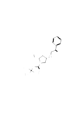 CC(C)(C)OC(=O)N1C[C@H](NCC(=O)c2ccccc2)C[C@H]1CO